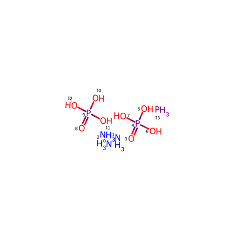 N.N.N.O=P(O)(O)O.O=P(O)(O)O.P